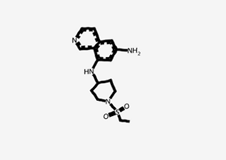 CCS(=O)(=O)N1CCC(Nc2cc(N)cc3ccncc23)CC1